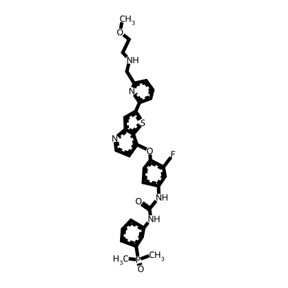 COCCNCc1cccc(-c2cc3nccc(Oc4ccc(NC(=O)Nc5cccc(P(C)(C)=O)c5)cc4F)c3s2)n1